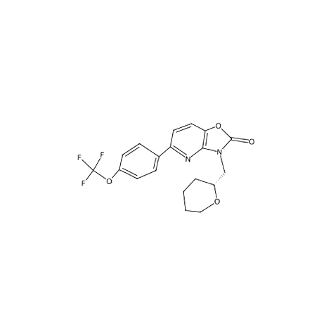 O=c1oc2ccc(-c3ccc(OC(F)(F)F)cc3)nc2n1C[C@H]1CCCCO1